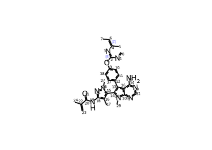 C=N/C(=N\C(C)=C/C)Oc1ccc(-c2c(-c3c(C)c(NC(=O)C(=C)C)nn3C)n(C)c3ncnc(N)c23)cc1